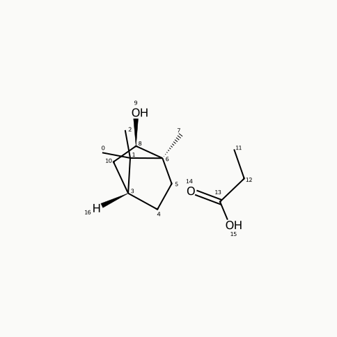 CC1(C)[C@@H]2CC[C@]1(C)[C@H](O)C2.CCC(=O)O